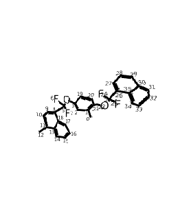 Cc1cc(OC(F)(F)c2ccc(C)c3ccccc23)ccc1OC(F)(F)c1cccc2ccccc12